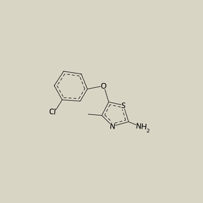 Cc1nc(N)sc1Oc1cccc(Cl)c1